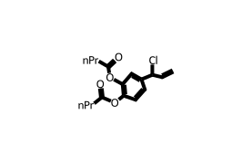 C=CC(Cl)c1ccc(OC(=O)CCC)c(OC(=O)CCC)c1